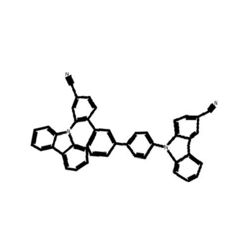 N#Cc1ccc(-c2cccc(-c3ccc(-n4c5ccccc5c5cc(C#N)ccc54)cc3)c2)c(-n2c3ccccc3c3ccccc32)c1